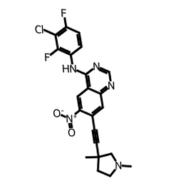 CN1CCC(C)(C#Cc2cc3ncnc(Nc4ccc(F)c(Cl)c4F)c3cc2[N+](=O)[O-])C1